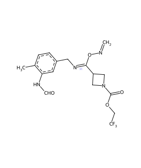 C=NO/C(=N\Cc1ccc(C)c(NC=O)c1)C1CN(C(=O)OCC(F)(F)F)C1